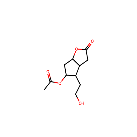 CC(=O)OC1CC2OC(=O)CC2C1CCO